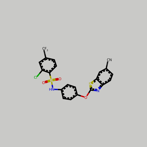 N#Cc1ccc2nc(Oc3ccc(NS(=O)(=O)c4ccc(C(F)(F)F)cc4Cl)cc3)sc2c1